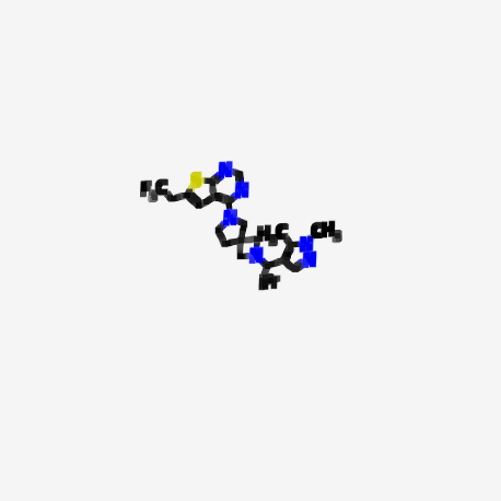 Cc1c(C(C(C)C)N2CC3(CCN(c4ncnc5sc(CC(F)(F)F)cc45)C3)C2)cnn1C